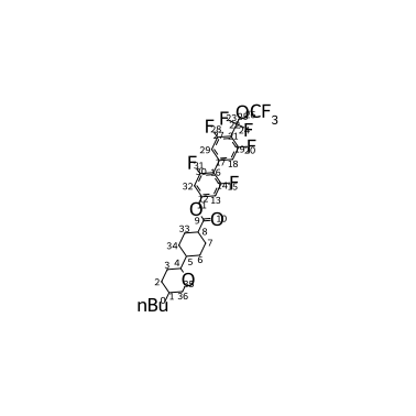 CCCCC1CCC(C2CCC(C(=O)Oc3cc(F)c(-c4cc(F)c(C(F)(F)OC(F)(F)F)c(F)c4)c(F)c3)CC2)OC1